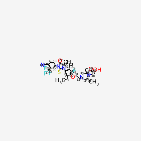 CCc1cc(N2C(=S)N(c3ccc(C#N)c(C(F)(F)F)c3)C(=O)C2(C)C)cc(F)c1OCCN1C[C@@H](C)N(CC(=O)O)[C@@H](C)C1